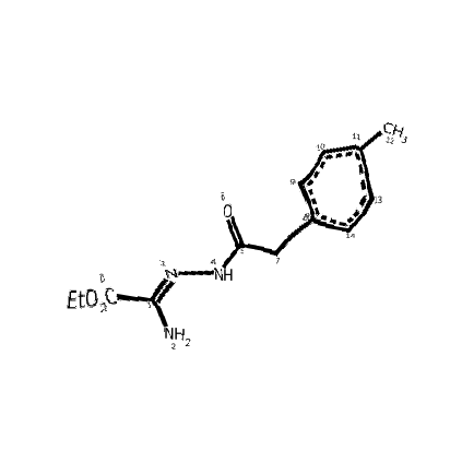 CCOC(=O)C(N)=NNC(=O)Cc1ccc(C)cc1